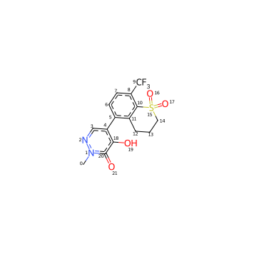 Cn1ncc(-c2ccc(C(F)(F)F)c3c2CCCS3(=O)=O)c(O)c1=O